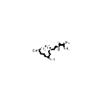 C=C(C)C(=O)NCCN(C)CCC(C=O)CCCC(C)C=O